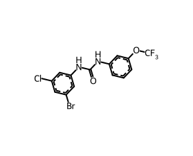 O=C(Nc1cc(Cl)cc(Br)c1)Nc1cccc(OC(F)(F)F)c1